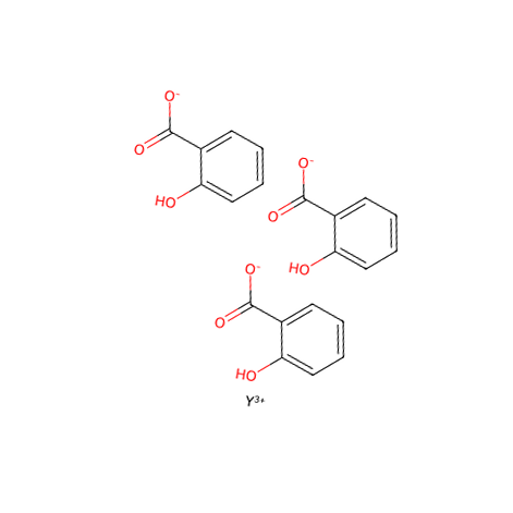 O=C([O-])c1ccccc1O.O=C([O-])c1ccccc1O.O=C([O-])c1ccccc1O.[Y+3]